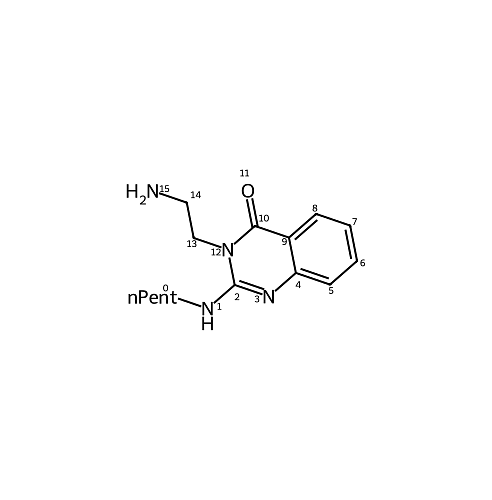 CCCCCNc1nc2ccccc2c(=O)n1CCN